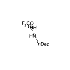 CCCCCCCCCCCCCCNCCCCNOC(=O)C(F)(F)F